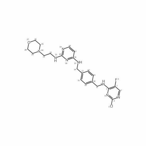 Fc1cnc(Cl)nc1NCc1ccc(CNc2ccnc(NCCN3CCOCC3)n2)cc1